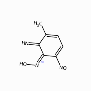 CC1=CC=C(N=O)/C(=N/O)C1=N